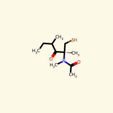 CCC(C)C(=O)[C@@](C)(CS)N(C)C(C)=O